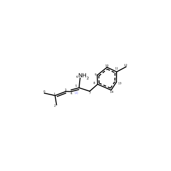 CC(C)=C/C=C(\N)Cc1ccc(C)cc1